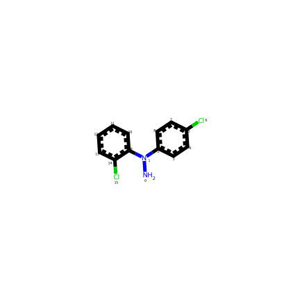 NN(c1ccc(Cl)cc1)c1ccccc1Cl